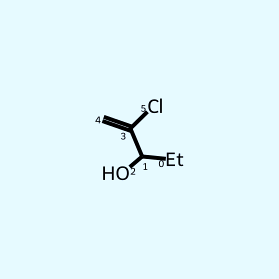 [CH2]CC(O)C(=C)Cl